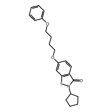 O=c1c2ccc(OCCCCOc3ccccc3)cc2sn1C1CCCC1